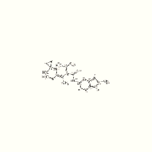 C=N/C(NC1(C)CC1)=C(\C)C(C(=O)Nc1ccc2oc(C)nc2c1)=C(C)C